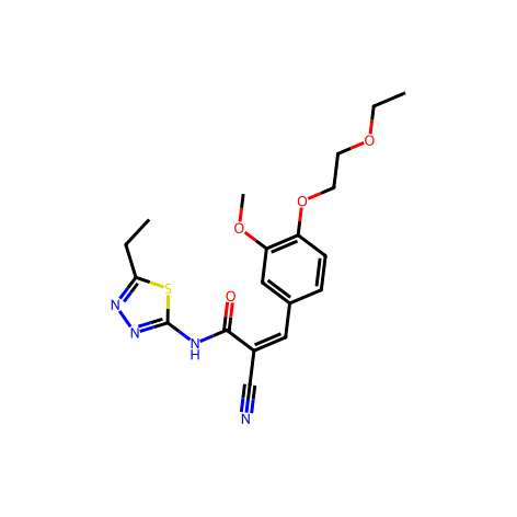 CCOCCOc1ccc(C=C(C#N)C(=O)Nc2nnc(CC)s2)cc1OC